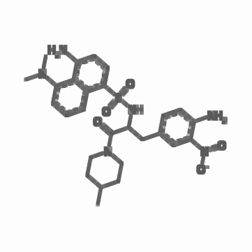 CC1CCN(C(=O)C(Cc2ccc(N)c([N+](=O)[O-])c2)NS(=O)(=O)c2ccc(N)c3c(N(C)C)cccc23)CC1